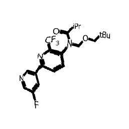 CC(C)C(=O)N(COCC(C)(C)C)c1ccc(-c2cncc(F)c2)nc1C(F)(F)F